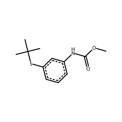 COC(=O)Nc1cccc(SC(C)(C)C)c1